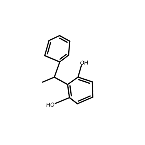 CC(c1ccccc1)c1c(O)cccc1O